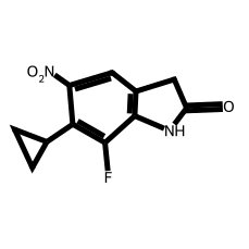 O=C1Cc2cc([N+](=O)[O-])c(C3CC3)c(F)c2N1